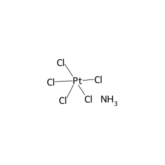 N.[Cl][Pt]([Cl])([Cl])([Cl])[Cl]